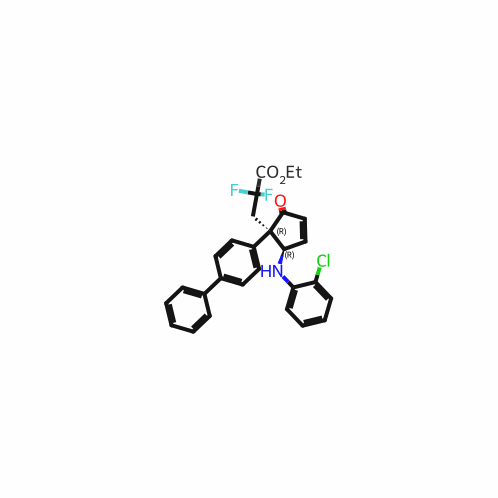 CCOC(=O)C(F)(F)C[C@]1(c2ccc(-c3ccccc3)cc2)C(=O)C=C[C@H]1Nc1ccccc1Cl